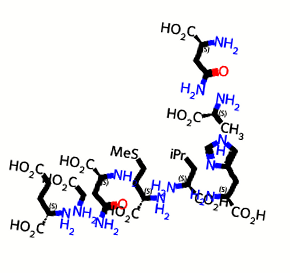 CC(C)C[C@H](N)C(=O)O.CSCC[C@H](N)C(=O)O.C[C@H](N)C(=O)O.NC(=O)C[C@H](N)C(=O)O.NC(=O)C[C@H](N)C(=O)O.NCC(=O)O.N[C@@H](CCC(=O)O)C(=O)O.N[C@@H](Cc1c[nH]cn1)C(=O)O